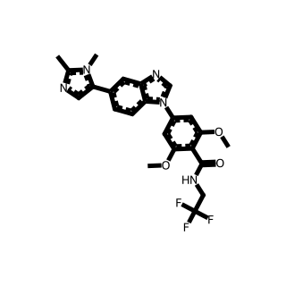 COc1cc(-n2cnc3cc(-c4cnc(C)n4C)ccc32)cc(OC)c1C(=O)NCC(F)(F)F